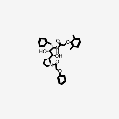 Cc1cccc(C)c1OCC(=O)N[C@@H](Cc1ccccc1)[C@H](O)[C@@H](O)[C@@H]1CCCN1C(=O)COc1ccccc1